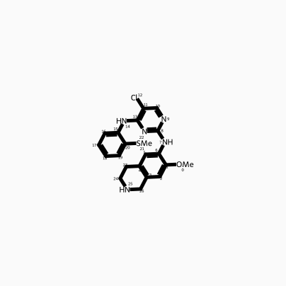 COc1cc2c(cc1Nc1ncc(Cl)c(Nc3ccccc3SC)n1)CCNC2